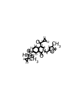 Cc1cc(Cn2cc(C(=O)C3CC3)c3ccc(S(=O)(=O)NC4(C)CC4)cc3c2=O)on1